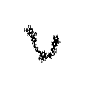 Cn1c2ccncc2c2ccc(-c3ccc(O[C@H]4C[C@H](Oc5cnc(C#CCOCCOc6ccc7c(c6)CN(C6CCC(=O)NC6=O)C7=O)cc5C(F)(F)F)C4)nc3)cc21